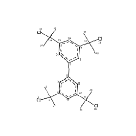 CC(C)(Cl)c1cc(-c2cc(C(C)(C)Cl)cc(C(C)(C)Cl)c2)cc(C(C)(C)Cl)c1